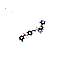 Cc1cccc(C(=O)Nc2ccc(CCNc3ncnc4cc(-c5ccncc5)sc34)cc2)c1